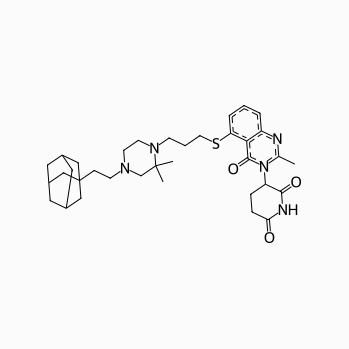 Cc1nc2cccc(SCCCN3CCN(CCC45CC6CC(CC(C6)C4)C5)CC3(C)C)c2c(=O)n1C1CCC(=O)NC1=O